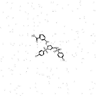 O=C(O)c1cccc(NC[C@@H]2C[C@@H](NS(=O)(=O)c3ccc(Cl)cc3)CN2S(=O)(=O)c2ccc(Cl)cc2)c1